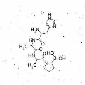 CC(NC(=O)C(N)Cc1c[nH]cn1)C(=O)NC(C)C(=O)N1CCCC1B(O)O